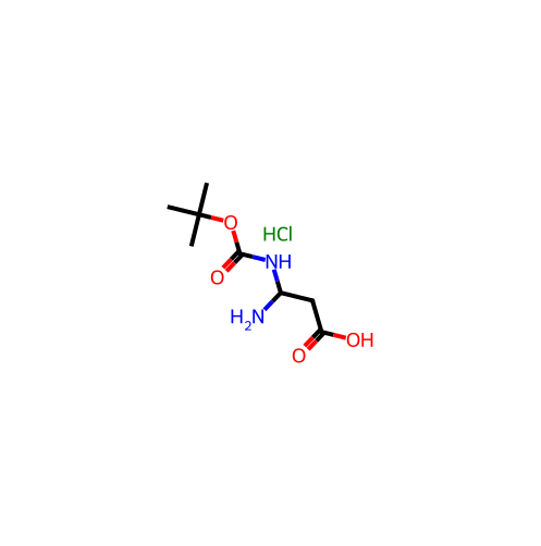 CC(C)(C)OC(=O)NC(N)CC(=O)O.Cl